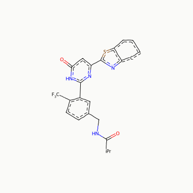 CC(C)C(=O)NCc1ccc(C(F)(F)F)c(-c2nc(-c3nc4ccccc4s3)cc(=O)[nH]2)c1